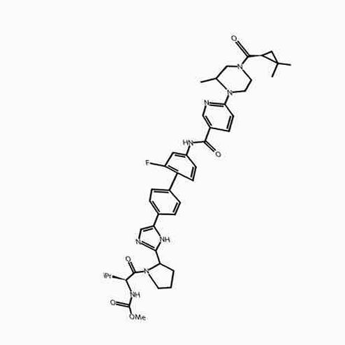 COC(=O)N[C@H](C(=O)N1CCCC1c1ncc(-c2ccc(-c3ccc(NC(=O)c4ccc(N5CCN(C(=O)[C@H]6CC6(C)C)CC5C)nc4)cc3F)cc2)[nH]1)C(C)C